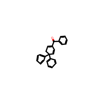 O=C(C1=CCC(c2ccccc2)(c2ccccc2)C=C1)c1ccccc1